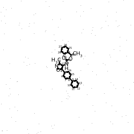 Cc1noc(-c2ccc(-c3ccccc3)cc2)c1NC(=O)O[C@H](C)c1ccccc1